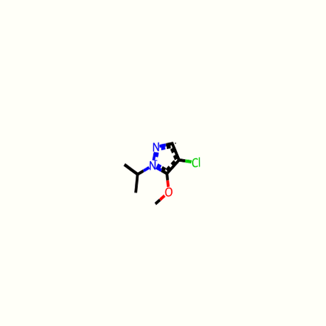 COc1c(Cl)[c]nn1C(C)C